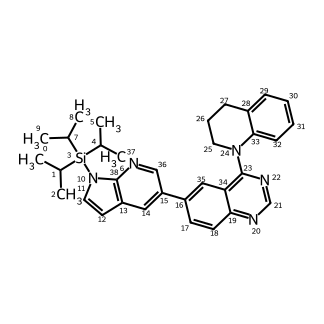 CC(C)[Si](C(C)C)(C(C)C)n1ccc2cc(-c3ccc4ncnc(N5CCCc6ccccc65)c4c3)cnc21